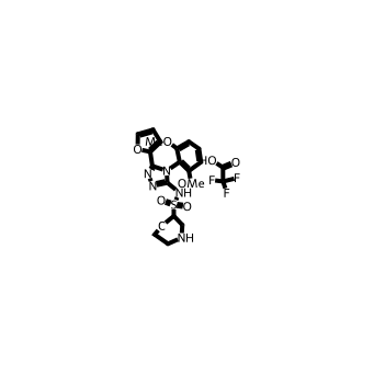 COc1cccc(OC)c1-n1c(NS(=O)(=O)C2CCCNC2)nnc1-c1ccco1.O=C(O)C(F)(F)F